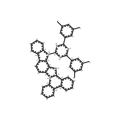 Cc1cc(C)cc(-c2nc(-c3cc(C)cc(C)c3)nc(-n3c4ccccc4c4ccc5c(nc6c7ccccc7c7ccccc7n56)c43)n2)c1